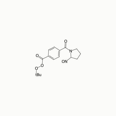 CC(C)(C)OOC(=O)c1ccc(C(=O)N2CCCC2N=O)cc1